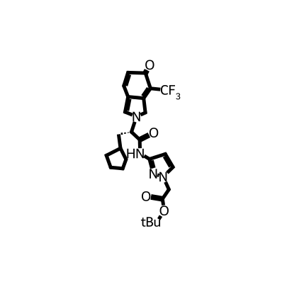 CC(C)(C)OC(=O)Cn1ccc(NC(=O)[C@H](CC2CCCC2)N2C=C3C=CC(=O)C(C(F)(F)F)=C3C2)n1